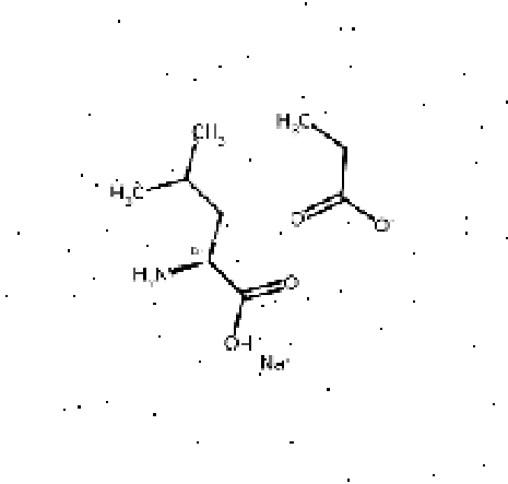 CC(C)C[C@H](N)C(=O)O.CCC(=O)[O-].[Na+]